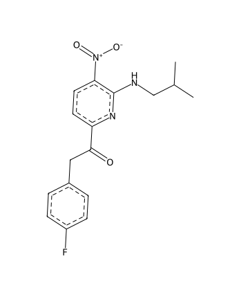 CC(C)CNc1nc(C(=O)Cc2ccc(F)cc2)ccc1[N+](=O)[O-]